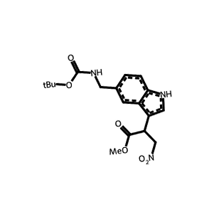 COC(=O)C(C[N+](=O)[O-])c1c[nH]c2ccc(CNC(=O)OC(C)(C)C)cc12